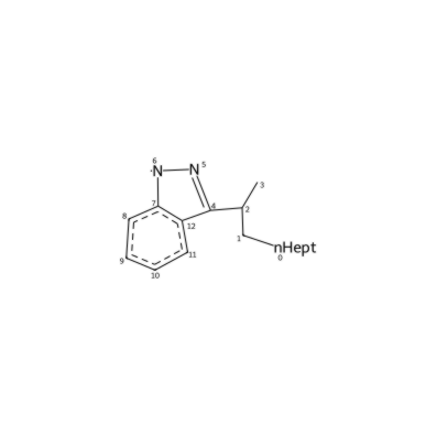 CCCCCCCCC(C)C1=N[N]c2ccccc21